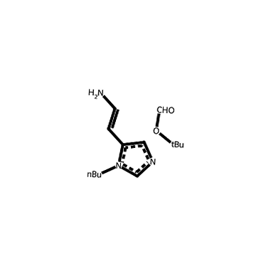 CC(C)(C)OC=O.CCCCn1cncc1C=CN